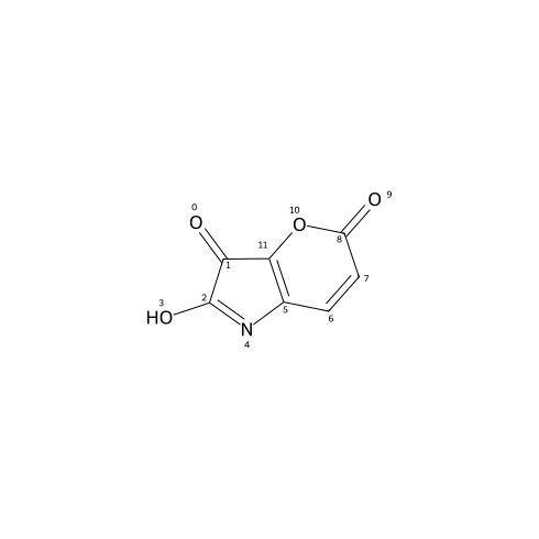 O=C1C(O)=Nc2ccc(=O)oc21